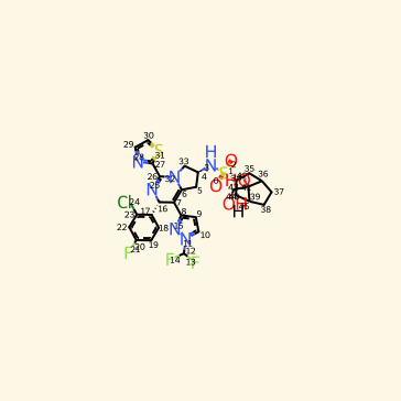 O=S(=O)(N[C@H]1CC2=C(c3ccn(C(F)F)n3)[C@H](c3ccc(F)cc3Cl)N=C(c3nccs3)N2C1)[C@@H]1CC2CC[C@@H](C1)[C@]2(O)CO